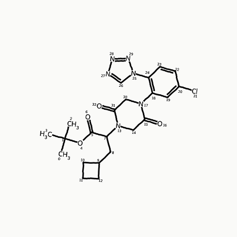 CC(C)(C)OC(=O)C(CC1CCC1)N1CC(=O)N(c2cc(Cl)ccc2-n2cnnn2)CC1=O